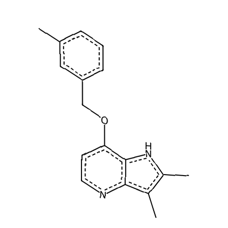 Cc1cccc(COc2ccnc3c(C)c(C)[nH]c23)c1